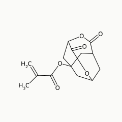 C=C(C)C(=O)OC12CC3CC(C1)C(=O)OC(C2)C(=O)O3